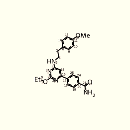 CCOc1nc(NCCc2ccc(OC)cc2)cc(-c2ccc(C(N)=O)cc2)n1